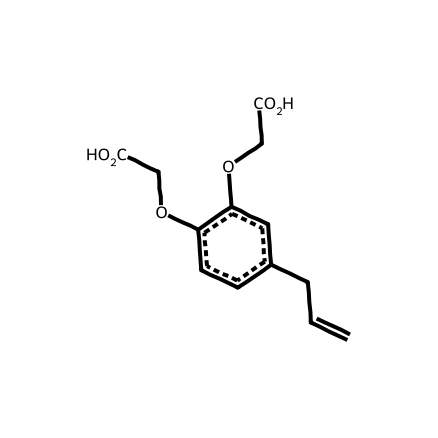 C=CCc1ccc(OCC(=O)O)c(OCC(=O)O)c1